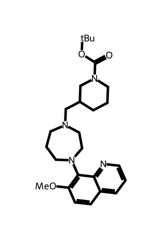 COc1ccc2cccnc2c1N1CCCN(CC2CCCN(C(=O)OC(C)(C)C)C2)CC1